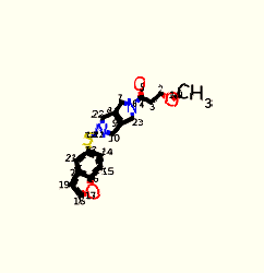 COCCC(=O)N1CC2=C(CN(Sc3ccc4occc4c3)C2)C1